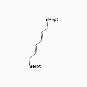 CCCCCCCCC=CC=CCCCCCCCC